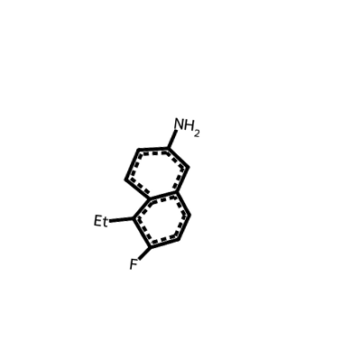 CCc1c(F)ccc2cc(N)ccc12